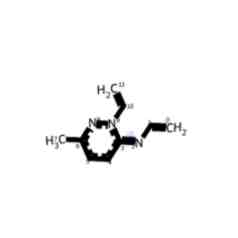 C=C/N=c1/ccc(C)nn1C=C